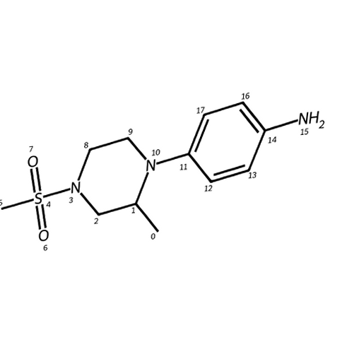 CC1CN(S(C)(=O)=O)CCN1c1ccc(N)cc1